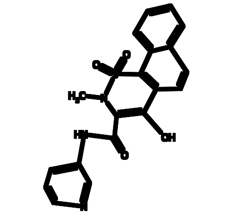 CN1C(C(=O)Nc2cccnc2)=C(O)c2ccc3ccccc3c2S1(=O)=O